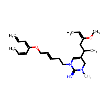 C=C/C=C(\C=C/C)OC/C=C/CCN1C=C(C(C)C/C(=C\C)OC)CN(C)C1=N